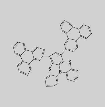 c1ccc2c(c1)Sc1c(-c3ccc4c5ccccc5c5ccccc5c4c3)cc(-c3ccc4c5ccccc5c5ccccc5c4c3)c3c1B2c1ccccc1S3